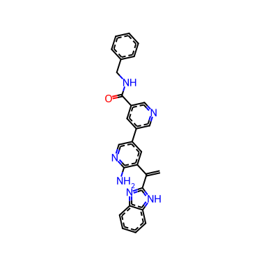 C=C(c1nc2ccccc2[nH]1)c1cc(-c2cncc(C(=O)NCc3ccccc3)c2)cnc1N